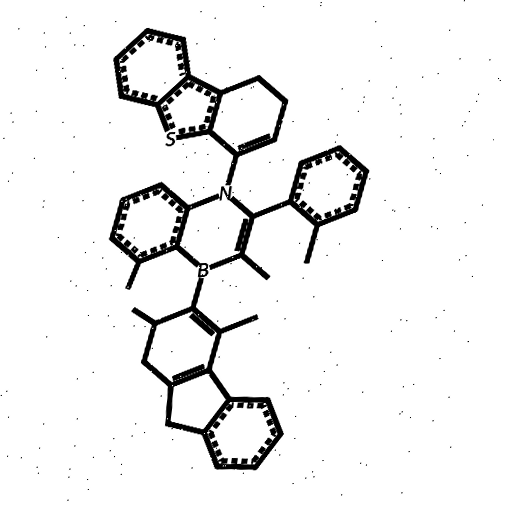 CC1=C(c2ccccc2C)N(C2=CCCc3c2sc2ccccc32)c2cccc(C)c2B1C1=C(C)C2=C(Cc3ccccc32)CC1C